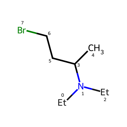 CCN(CC)C(C)CCBr